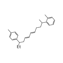 CCC(CC=CC=CCCC(C)c1ccccc1C)c1ccc(C)cc1